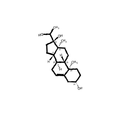 CC(O)[C@@]1(O)CC[C@H]2[C@@H]3CC=C4C[C@@H](O)CC[C@]4(C)[C@H]3CC[C@@]21C